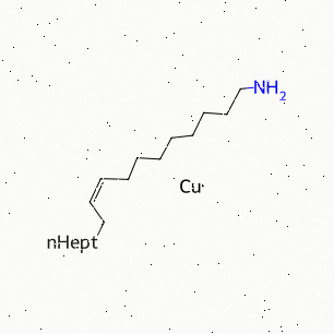 CCCCCCCC/C=C\CCCCCCCCN.[Cu]